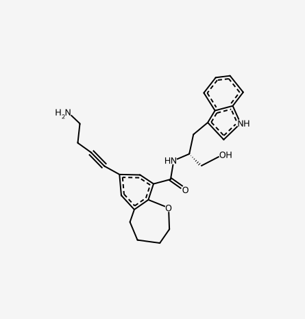 NCCC#Cc1cc2c(c(C(=O)N[C@@H](CO)Cc3c[nH]c4ccccc34)c1)OCCCC2